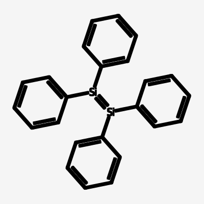 c1ccc([Si](c2ccccc2)=[Si](c2ccccc2)c2ccccc2)cc1